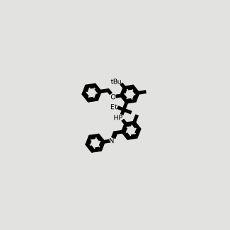 CCC(C)(Pc1c(C)cccc1/C=N/c1ccccc1)c1cc(C)cc(C(C)(C)C)c1OCc1ccccc1